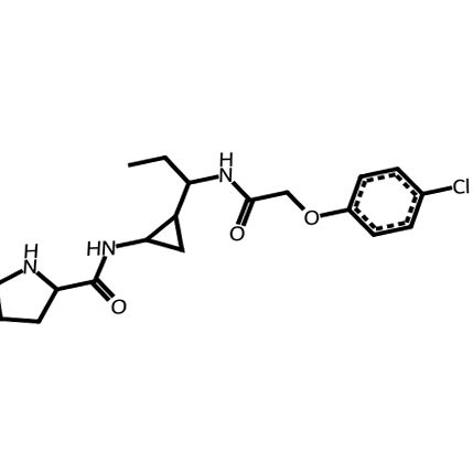 CCC(NC(=O)COc1ccc(Cl)cc1)C1CC1NC(=O)C1CCCN1